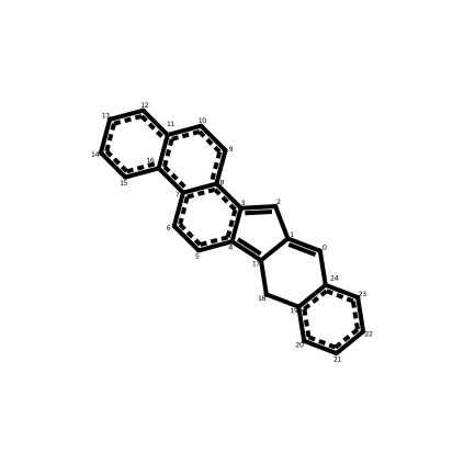 C1=C2C=c3c(ccc4c3ccc3ccccc34)=C2Cc2ccccc21